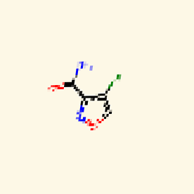 NC(=O)c1nocc1Br